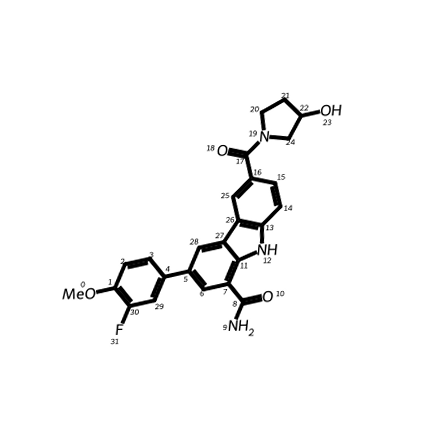 COc1ccc(-c2cc(C(N)=O)c3[nH]c4ccc(C(=O)N5CCC(O)C5)cc4c3c2)cc1F